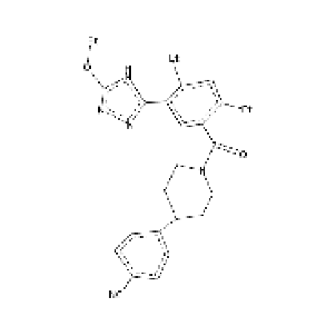 CCOc1nnc(-c2cc(C(=O)N3CCC(c4ccc(C#N)cc4)CC3)c(CC)cc2CC)[nH]1